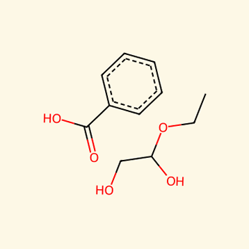 CCOC(O)CO.O=C(O)c1ccccc1